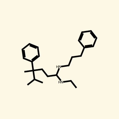 CCNC(CCC(C)(c1ccccc1)C(C)C)NCCCc1ccccc1